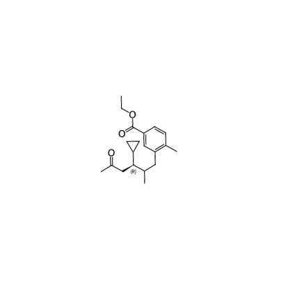 CCOC(=O)c1ccc(C)c(CC(C)[C@@H](CC(C)=O)C2CC2)c1